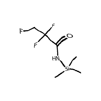 C[Si](C)(C)NC(=O)C(F)(F)CF